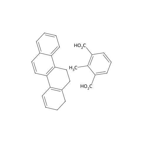 C1=CC2=C(CC1)CCc1c2ccc2ccccc12.Cc1c(C(=O)O)cccc1C(=O)O